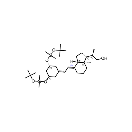 C[C@@H](CO)[C@H]1CC[C@H]2/C(=C/C=C3C[C@@H](O[Si](C)(C)OC(C)(C)C)C[C@H](O[Si](C)(C)OC(C)(C)C)C3)CCC[C@]12C